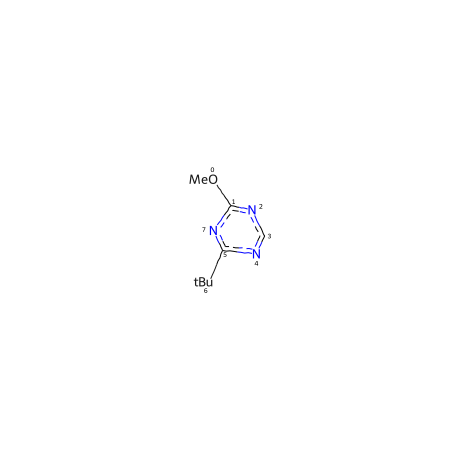 COc1ncnc(C(C)(C)C)n1